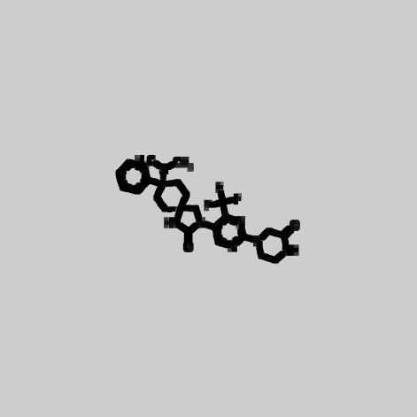 CN(C)[C@]1(c2ccccc2)CC[C@]2(CC1)CN(c1cnc(N3CCNC(=O)C3)nc1C(F)(F)F)C(=O)N2